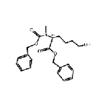 CN(C(=O)OCc1ccccc1)[C@@H](CCCCO)C(=O)OCc1ccccc1